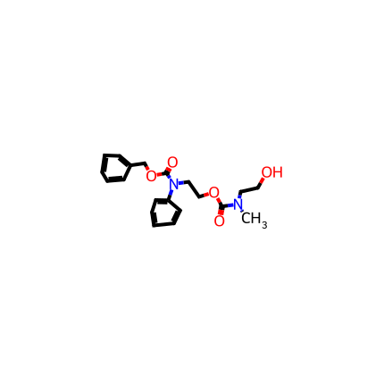 CN(CCO)C(=O)OCCN(C(=O)OCc1ccccc1)c1ccccc1